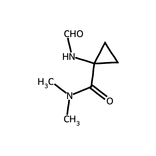 CN(C)C(=O)C1(NC=O)CC1